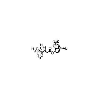 CC(C)(C)C(=O)NCC(=O)OC1C2CC3C1OS(=O)(=O)C3C2C#N